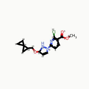 COC(=O)c1ccc(N2C=CC(OCC3CC34CC4)N2)nc1Cl